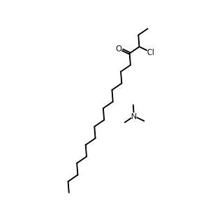 CCCCCCCCCCCCCCCC(=O)C(Cl)CC.CN(C)C